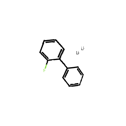 Fc1ccccc1-c1ccccc1.[Li].[Li]